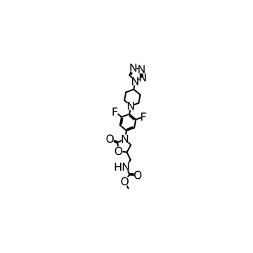 COC(=O)NCC1CN(c2cc(F)c(N3CCC(n4cnnn4)CC3)c(F)c2)C(=O)O1